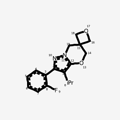 CC(C)c1c(-c2ccccc2F)nn2c1OCC1(COC1)C2